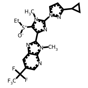 CC[S+]([O-])c1c(-c2nc3cc(C(F)(F)C(F)(F)F)cnc3n2C)nc(-n2ccc(C3CC3)n2)n1C